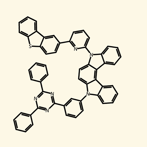 c1ccc(-c2nc(-c3ccccc3)nc(-c3cccc(-n4c5ccccc5c5c6c7ccccc7n(-c7cccc(-c8ccc9sc%10ccccc%10c9c8)n7)c6ccc54)c3)n2)cc1